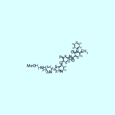 COCCNCc1ccc(-c2cc3nccc(Oc4ccc(NC(=O)c5ccc(C)n(-c6ccccc6)c5=O)cc4F)c3s2)nc1